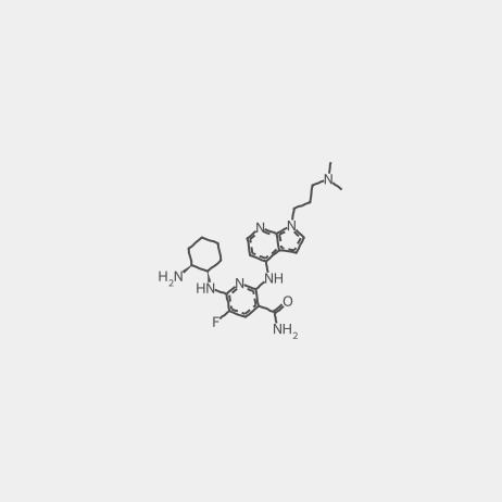 CN(C)CCCn1ccc2c(Nc3nc(N[C@@H]4CCCC[C@@H]4N)c(F)cc3C(N)=O)ccnc21